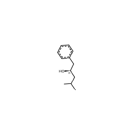 CC(C)C[C@@H](O)Cc1ccccc1